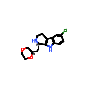 Clc1ccc2[nH]c3c(c2c1)CCN[C@H]3C[C@@H]1COCCO1